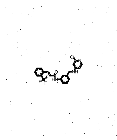 O=C(/C=C/c1ccccc1C(F)(F)F)Nc1cccc(CNc2ccnc(Cl)c2)c1